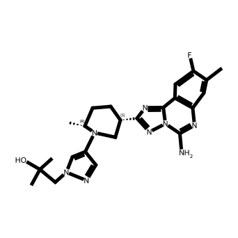 Cc1cc2nc(N)n3nc([C@H]4CC[C@@H](C)N(c5cnn(CC(C)(C)O)c5)C4)nc3c2cc1F